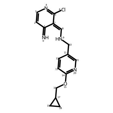 N=C1C=CN=C(Cl)/C1=C/NCc1ccc(OCC2CC2)nc1